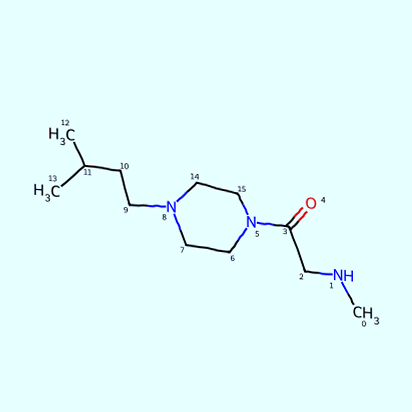 CNCC(=O)N1CCN(CCC(C)C)CC1